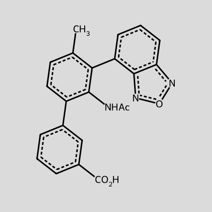 CC(=O)Nc1c(-c2cccc(C(=O)O)c2)ccc(C)c1-c1cccc2nonc12